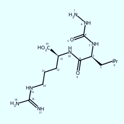 CC(C)C[C@H](NC(=O)NN)C(=O)N[C@@H](CCCNC(=N)N)C(=O)O